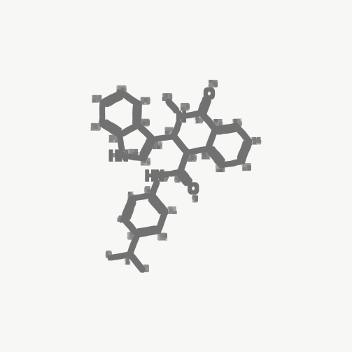 CC(C)c1ccc(NC(=O)C2c3ccccc3C(=O)N(C)C2c2c[nH]c3ccccc23)cc1